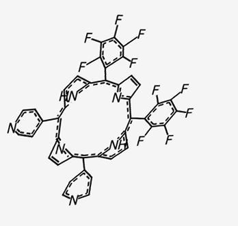 Fc1c(F)c(F)c(-c2c3nc(c(-c4c(F)c(F)c(F)c(F)c4F)c4ccc([nH]4)c(-c4ccncc4)c4nc(c(-c5ccncc5)c5ccc2[nH]5)C=C4)C=C3)c(F)c1F